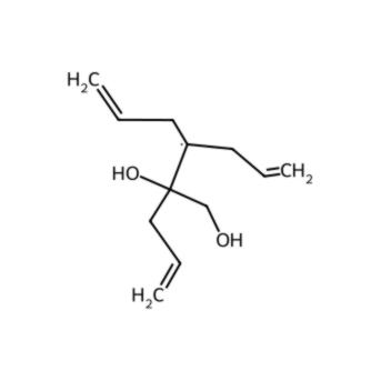 C=CC[C](CC=C)C(O)(CO)CC=C